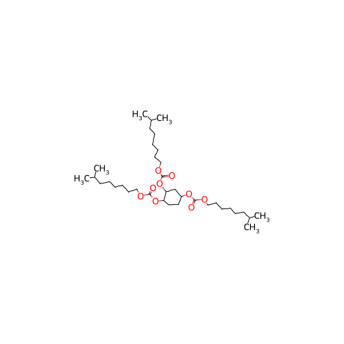 CC(C)CCCCCCOC(=O)OC1CCC(OC(=O)OCCCCCCC(C)C)C(OC(=O)OCCCCCCC(C)C)C1